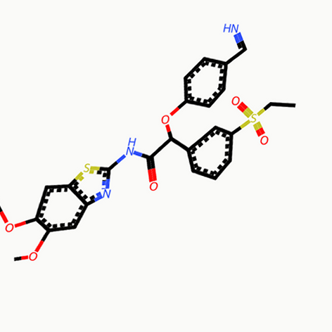 CCS(=O)(=O)c1cccc(C(Oc2ccc(C=N)cc2)C(=O)Nc2nc3cc(OC)c(OC)cc3s2)c1